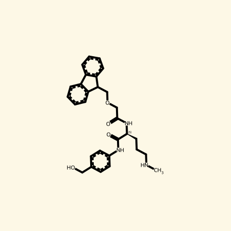 CNCCC[C@H](NC(=O)COCC1c2ccccc2-c2ccccc21)C(=O)Nc1ccc(CO)cc1